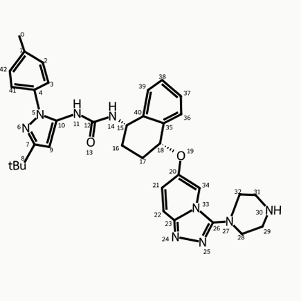 Cc1ccc(-n2nc(C(C)(C)C)cc2NC(=O)N[C@H]2CC[C@@H](Oc3ccc4nnc(N5CCNCC5)n4c3)c3ccccc32)cc1